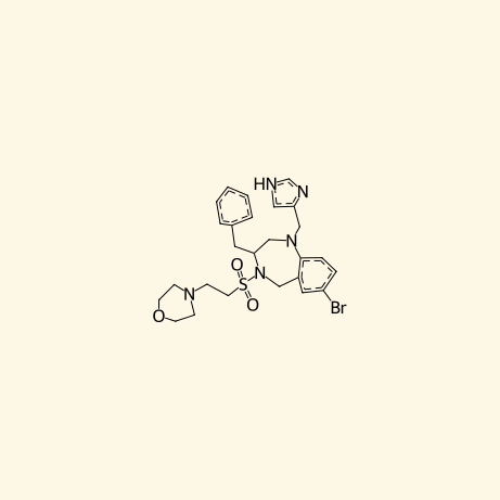 O=S(=O)(CCN1CCOCC1)N1Cc2cc(Br)ccc2N(Cc2c[nH]cn2)CC1Cc1ccccc1